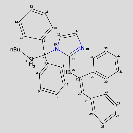 CCCC[SiH2]C(c1ccccc1)(c1ccccc1)n1ccnc1BC(=Cc1ccccc1)c1ccccc1